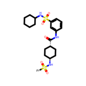 CC(C)S(=O)(=O)N[C@H]1CC[C@H](C(=O)Nc2cccc(S(=O)(=O)NC3CCCCC3)c2)CC1